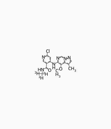 [2H]C([2H])([2H])NC(=O)c1cnc(Cl)cc1Nc1ncn2ncc(C)c2c1OC